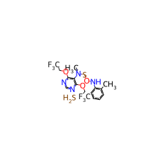 Cc1ccccc1NOSN(C)c1c(OCC(F)(F)F)ncnc1OCC(F)(F)F.S